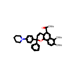 COC(=O)c1cc2c(OC)c(OC)ccc2c2c1C=CC(c1ccccc1)(c1ccc(N3CCCCC3)cc1)O2